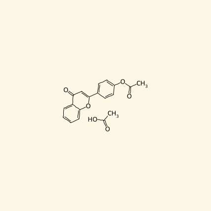 CC(=O)O.CC(=O)Oc1ccc(-c2cc(=O)c3ccccc3o2)cc1